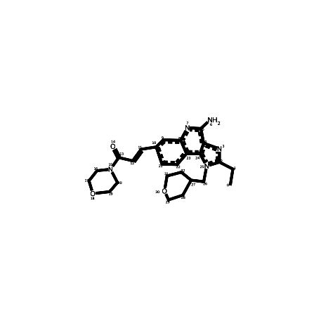 CCc1nc2c(N)nc3cc(/C=C/C(=O)N4CCOCC4)ccc3c2n1CC1CCOCC1